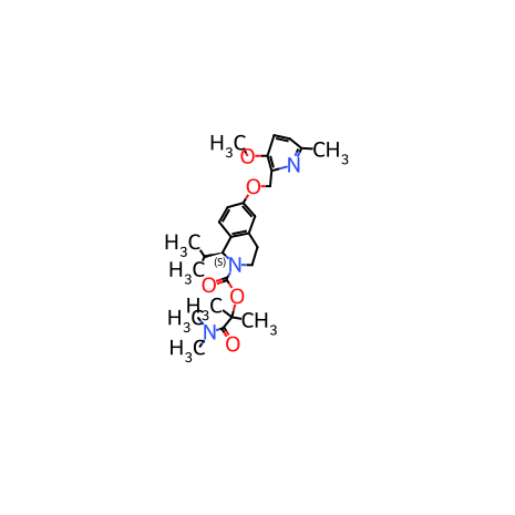 COc1ccc(C)nc1COc1ccc2c(c1)CCN(C(=O)OC(C)(C)C(=O)N(C)C)[C@H]2C(C)C